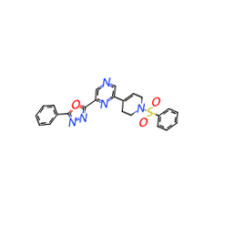 O=S(=O)(c1ccccc1)N1CC=C(c2cncc(-c3nnc(-c4ccccc4)o3)n2)CC1